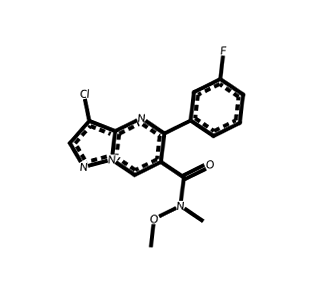 CON(C)C(=O)c1cn2ncc(Cl)c2nc1-c1cccc(F)c1